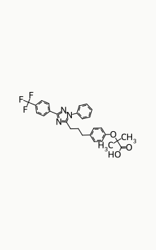 CC(C)(Oc1ccc(CCCc2nc(-c3ccc(C(F)(F)F)cc3)nn2-c2ccccc2)cc1)C(=O)O